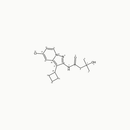 CC(C)(O)CC(=O)Nc1nn2ccc(Cl)cc2c1C1CCC1